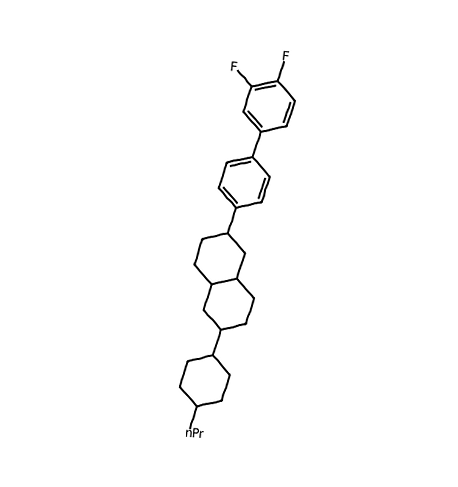 CCCC1CCC(C2CCC3CC(c4ccc(-c5ccc(F)c(F)c5)cc4)CCC3C2)CC1